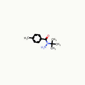 Cc1ccc(C(=O)N(N)C(C)(C)C)cc1